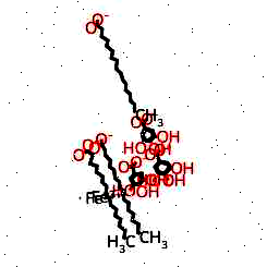 CCCCCCCCCCCCCCCCCC(=O)[O-].CCCCCCCCCCCCCCCCCC(=O)[O-].CCCCCCCCCCCCCCCCCC(=O)[O-].O=C([O-])c1cc(O)c(O)c(O)c1.O=C([O-])c1cc(O)c(O)c(O)c1.O=C([O-])c1cc(O)c(O)c(O)c1.[Fe+3].[Fe+3]